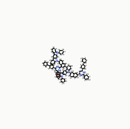 c1ccc(-c2ccc(-c3cc(-c4ccc5ccc(-n6c7cc8c(cc7c7c(-c9cc(-c%10nc(-c%11ccccc%11)cc(-c%11ccc(-c%12ccccc%12)cc%11)n%10)c%10cc(-n%11c%12ccccc%12c%12cc%13c%14ccccc%14n(-c%14ccccc%14)c%13cc%12%11)ccc%10c9)cccc76)c6ccccc6n8-c6ccccc6)cc5c4)nc(-c4ccccc4)n3)cc2)cc1